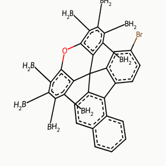 Bc1c(B)c(B)c2c(c1B)Oc1c(B)c(B)c(B)c(B)c1C21c2cc(Br)ccc2-c2c1ccc1ccccc21